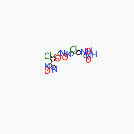 COc1cc(-c2cn(C)c(=O)c3cnccc23)cc(Cl)c1CC1CCN(CC(=O)N2CCC(c3ccc(NC4CCC(=O)NC4=O)cc3Cl)CC2)CC1